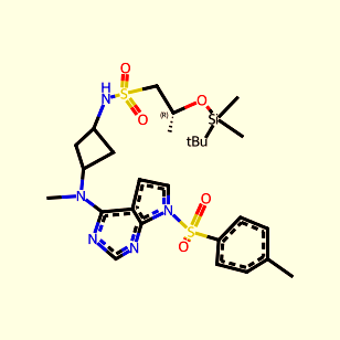 Cc1ccc(S(=O)(=O)n2ccc3c(N(C)C4CC(NS(=O)(=O)C[C@@H](C)O[Si](C)(C)C(C)(C)C)C4)ncnc32)cc1